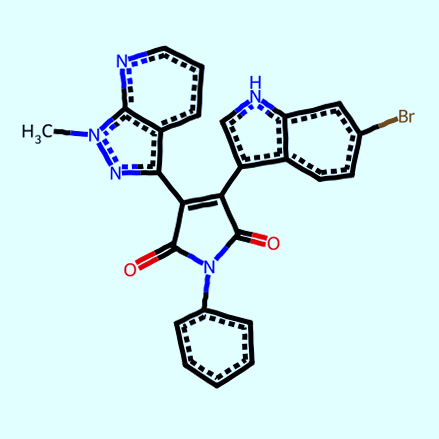 Cn1nc(C2=C(c3c[nH]c4cc(Br)ccc34)C(=O)N(c3ccccc3)C2=O)c2cccnc21